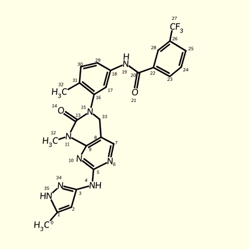 Cc1cc(Nc2ncc3c(n2)N(C)C(=O)N(c2cc(NC(=O)c4cccc(C(F)(F)F)c4)ccc2C)C3)n[nH]1